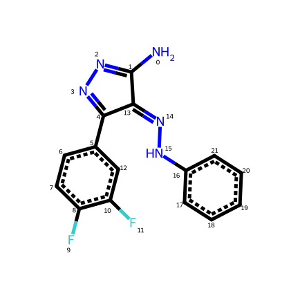 NC1=NN=C(c2ccc(F)c(F)c2)/C1=N\Nc1ccccc1